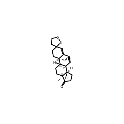 C[C@]12CC[C@H]3[C@@H](C=CC4=CC5(CCSS5)CC[C@@]43CO)[C@@H]1CCC2=O